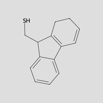 SCC1C2=C(C=CCC2)c2ccccc21